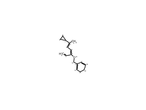 C=C/C(=C\C=C(/C)C1CC1)OCC1=CCCC=C1